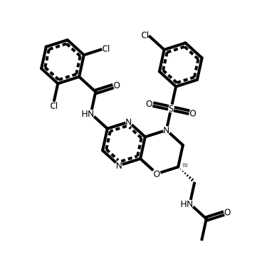 CC(=O)NC[C@H]1CN(S(=O)(=O)c2cccc(Cl)c2)c2nc(NC(=O)c3c(Cl)cccc3Cl)cnc2O1